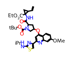 C=CC1CC1(NC(=O)C1CC(Oc2cc(-c3csc(NC(C)C)n3)nc3cc(OC)ccc23)CN1C(=O)OC(C)(C)C)C(=O)OCC